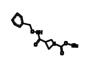 CC(C)(C)OC(=O)N1CC(C(=O)NOCc2ccccc2)C1